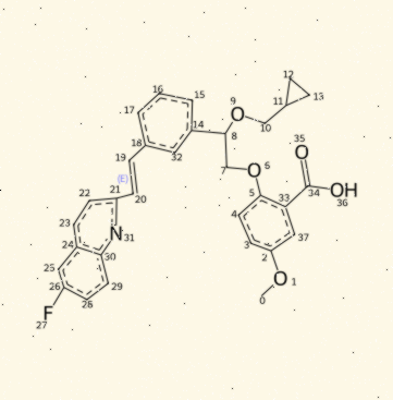 COc1ccc(OCC(OCC2CC2)c2cccc(/C=C/c3ccc4cc(F)ccc4n3)c2)c(C(=O)O)c1